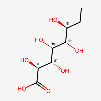 CC[C@H](O)[C@H](O)[C@@H](O)[C@H](O)[C@H](O)C(=O)O